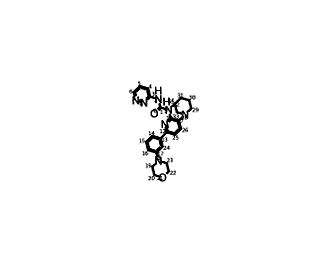 O=C(Nc1cccnn1)N1c2nc(-c3cccc(N4CCOCC4)c3)ccc2N2CCC[C@H]1C2